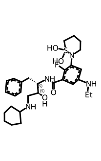 CCNc1cc(C(=O)N[C@@H](Cc2ccccc2)[C@@H](O)CNC2CCCCC2)c(F)c(N2CCCCS2(O)O)c1